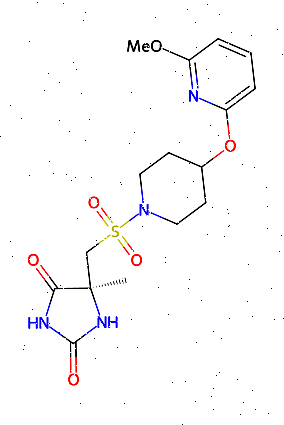 COc1cccc(OC2CCN(S(=O)(=O)C[C@@]3(C)NC(=O)NC3=O)CC2)n1